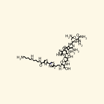 C=C(CCNC(=O)[C@@H](NC(=O)[C@@H](C)[C@H](O)[C@@H](C)NC(=O)[C@H]([C@@H](O)c1c[nH]cn1)C1(N)C(=O)c2nc([C@H](CC(N)=O)NC[C@H](N)C(N)=O)nc(N)c21)[C@@H](C)O)S/C=C(\N)c1nc(C(=O)NCCCNCCCCN)cs1